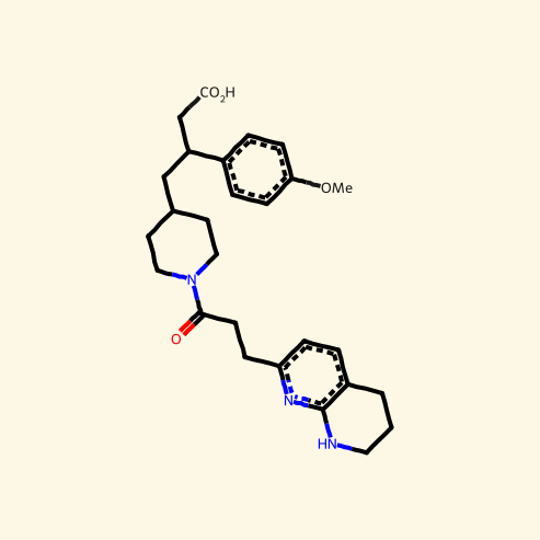 COc1ccc(C(CC(=O)O)CC2CCN(C(=O)CCc3ccc4c(n3)NCCC4)CC2)cc1